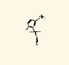 Cc1ccc(N)cc1C(C)(C)C#N